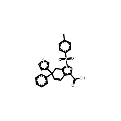 Cc1ccc(S(=O)(=O)n2nc(C(=O)O)c3c2CC(c2ccccc2)(c2ccsc2)C=C3)cc1